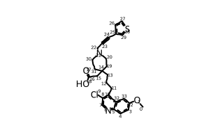 COc1ccc2ncc(Cl)c(CCCC3(CC(=O)O)CCN(CC#Cc4ccsc4)CC3)c2c1